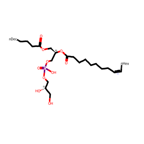 CCCCCC/C=C\CCCCCCCC(=O)O[C@H](COC(=O)CCCCCCCCCCCCC)COP(=O)(O)OC[C@@H](O)CO